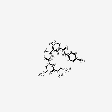 CC(=O)N[C@@H](CC(=O)O)C(=O)N[C@@H](CCC(=O)O)C(=O)N[C@H](C(=O)N[C@@H](CC(=O)O)C(=O)Nc1ccc([N+](=O)[O-])cc1)C(C)C